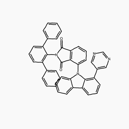 O=C1c2cccc(-n3c4ccccc4c4cccc(-c5cncnc5)c43)c2C(=O)N1c1c(-c2ccccc2)cccc1-c1ccccc1